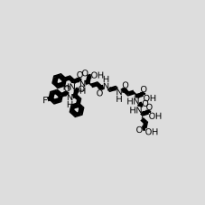 O=C(O)CC[C@H](NC(=O)N[C@@H](CCC(=O)NCCNC(=O)CC[C@@H](NC(=O)C(Cc1ccccc1)NC(=O)C(Cc1ccccc1)NC(=O)c1ccc(F)cc1)C(=O)O)C(=O)O)C(=O)O